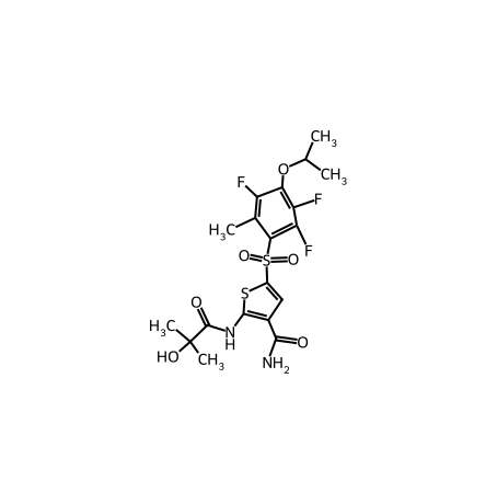 Cc1c(F)c(OC(C)C)c(F)c(F)c1S(=O)(=O)c1cc(C(N)=O)c(NC(=O)C(C)(C)O)s1